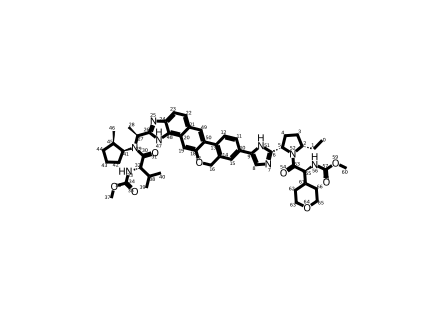 CC[C@H]1CC[C@@H](c2ncc(-c3ccc4c(c3)COc3cc5c(ccc6nc([C@H](C)N(C(=O)[C@@H](NC(=O)OC)C(C)C)[C@H]7CCC[C@H]7C)[nH]c65)cc3-4)[nH]2)N1C(=O)[C@@H](NC(=O)OC)C1CCOCC1